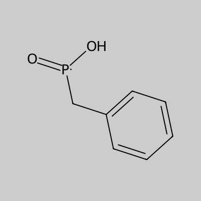 O=[P](O)Cc1ccccc1